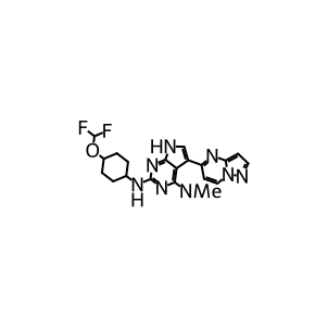 CNc1nc(NC2CCC(OC(F)F)CC2)nc2[nH]cc(-c3ccn4nccc4n3)c12